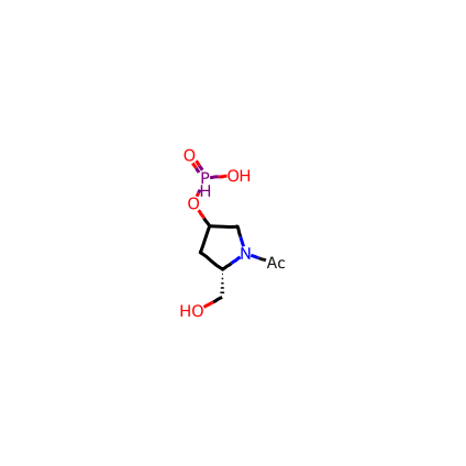 CC(=O)N1CC(O[PH](=O)O)C[C@H]1CO